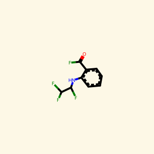 O=C(F)c1ccccc1NC(F)C(F)F